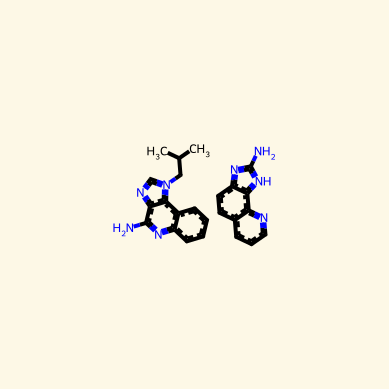 CC(C)Cn1cnc2c(N)nc3ccccc3c21.Nc1nc2ccc3cccnc3c2[nH]1